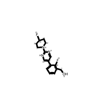 OCc1cccc(-c2cnc(N3CCC(F)CC3)nc2)c1F